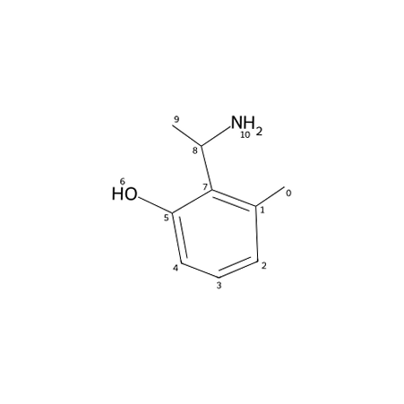 Cc1cccc(O)c1C(C)N